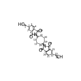 C#Cc1ccc2c(c1)C(=O)N(C1CCCC(N3C(=O)c4ccc(C#C)cc4C3=O)CCC1)C2=O